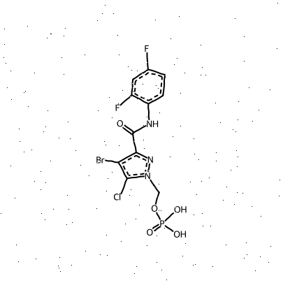 O=C(Nc1ccc(F)cc1F)c1nn(COP(=O)(O)O)c(Cl)c1Br